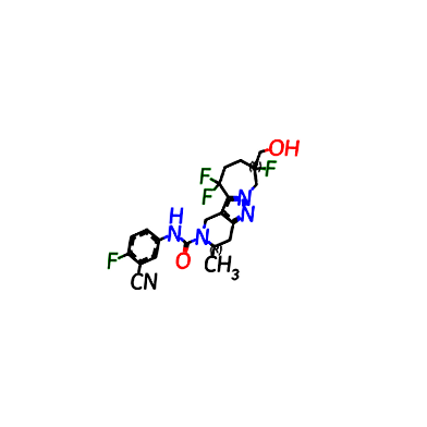 C[C@@H]1Cc2nn3c(c2CN1C(=O)Nc1ccc(F)c(C#N)c1)C(F)(F)CC[C@](F)(CO)C3